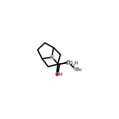 CC(C)(C)OC(=O)N1C2CCC1CC(O)(C(=O)O)C2